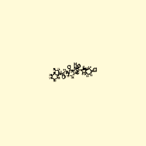 O=C1[C@@H](NS(=O)(=O)c2cc3ccc(Cl)cc3s2)CCCN1CC(=O)N1CCc2ccccc21